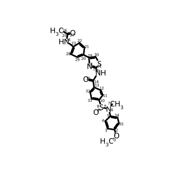 COc1ccc(N(C)[S+]([O-])c2ccc(C(=O)Nc3nc(-c4ccc(NC(C)=O)cc4)cs3)cc2)cc1